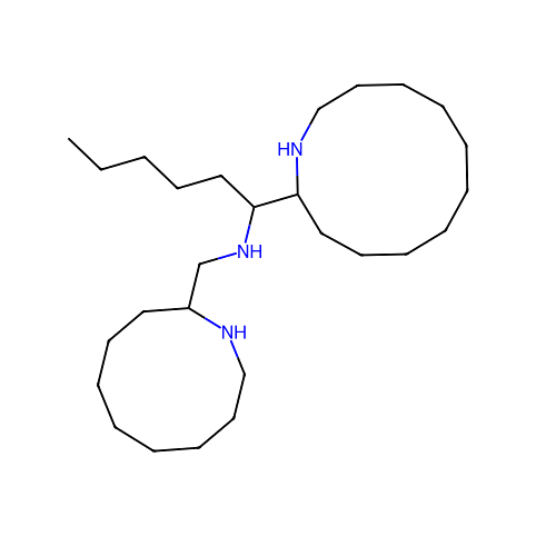 CCCCCC(NCC1CCCCCCCCN1)C1CCCCCCCCCCN1